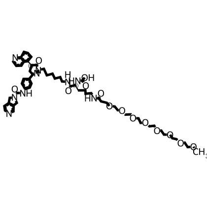 COCCOCCOCCOCCOCCOCCOCCOCCC(=O)NCCCC[C@H](NC(=O)O)C(=O)NCCCCCCN1N=C(c2ccc(NC(=O)N3Cc4ccncc4C3)cc2)C[C@@H](c2cccc3ncccc23)C1=O